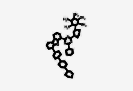 Bc1c(B)c(B)c(-c2cccc(-c3nc(-c4ccccc4)nc(-c4cccc5c4oc4c(-c6ccc(-c7ccc(-c8ccccc8)cc7)cc6)cccc45)n3)c2)c(B)c1B